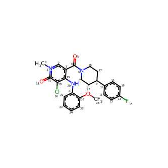 Cn1cc(C(=O)N2CCC(c3ccc(F)cc3)CC2)c(Nc2ccccc2OC(F)(F)F)c(Cl)c1=O